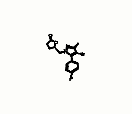 Cc1nn(C[C@H]2CCC(=O)O2)c(-c2ccc(F)cc2)c1Br